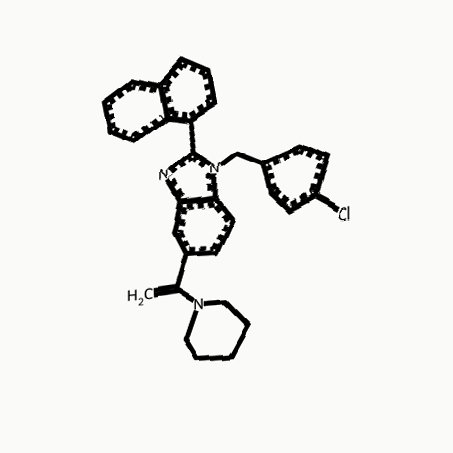 C=C(c1ccc2c(c1)nc(-c1cccc3ccccc13)n2Cc1ccc(Cl)cc1)N1CCCCC1